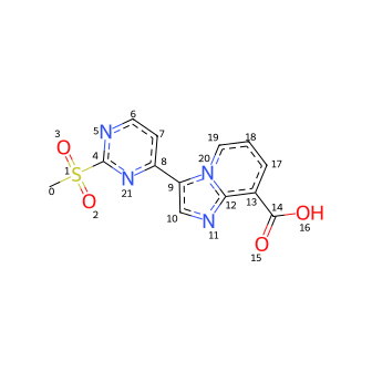 CS(=O)(=O)c1nccc(-c2cnc3c(C(=O)O)cccn23)n1